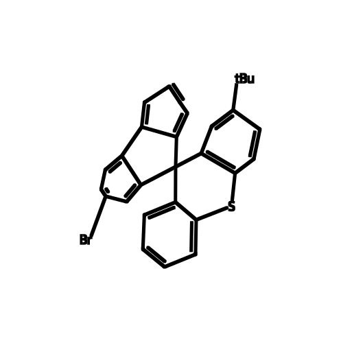 CC(C)(C)c1ccc2c(c1)C1(c3ccccc3S2)c2ccccc2-c2ccc(Br)cc21